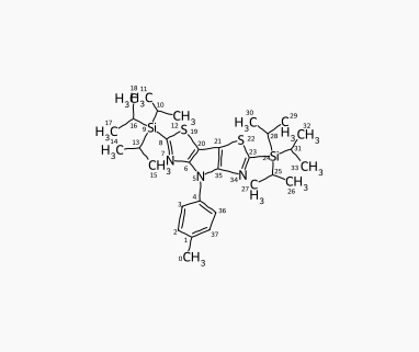 Cc1ccc(-n2c3nc([Si](C(C)C)(C(C)C)C(C)C)sc3c3sc([Si](C(C)C)(C(C)C)C(C)C)nc32)cc1